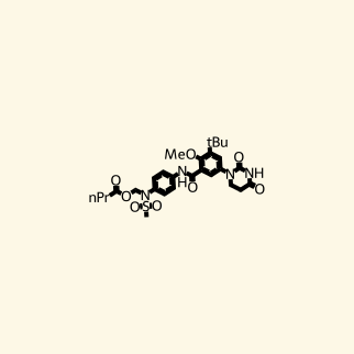 CCCC(=O)OCN(c1ccc(NC(=O)c2cc(N3CCC(=O)NC3=O)cc(C(C)(C)C)c2OC)cc1)S(C)(=O)=O